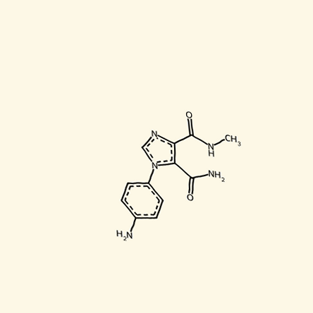 CNC(=O)c1ncn(-c2ccc(N)cc2)c1C(N)=O